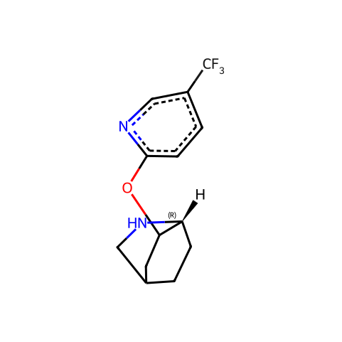 FC(F)(F)c1ccc(OC2CC3CC[C@H]2NC3)nc1